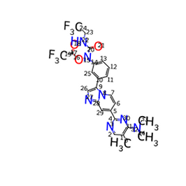 Cc1cnc(-c2ccn3c(-c4cccc(N(OC(=O)C(F)(F)F)C(=O)NCC(F)(F)F)c4)cnc3c2)nc1N(C)C